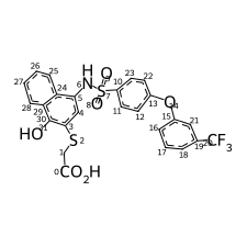 O=C(O)CSc1cc(NS(=O)(=O)c2ccc(Oc3cccc(C(F)(F)F)c3)cc2)c2ccccc2c1O